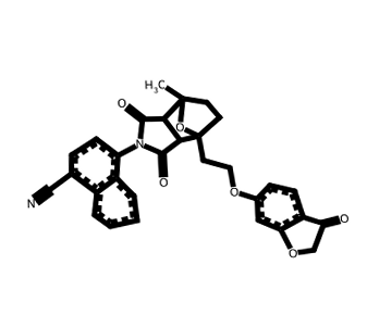 CC12CCC(CCOc3ccc4c(c3)OCC4=O)(O1)C1C(=O)N(c3ccc(C#N)c4ccccc34)C(=O)C12